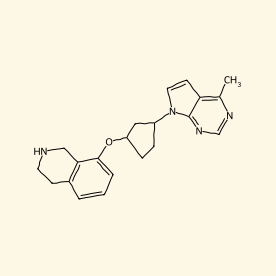 Cc1ncnc2c1ccn2C1CCC(Oc2cccc3c2CNCC3)C1